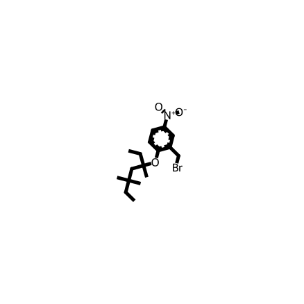 CCC(C)(C)CC(C)(CC)Oc1ccc([N+](=O)[O-])cc1CBr